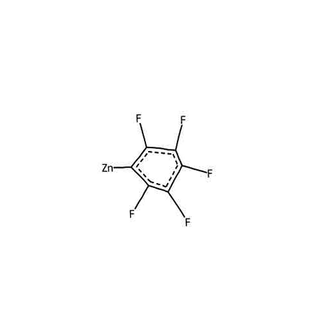 Fc1c(F)c(F)[c]([Zn])c(F)c1F